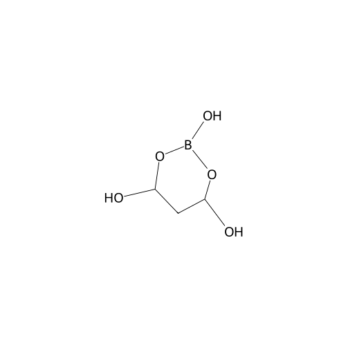 OB1OC(O)CC(O)O1